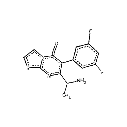 CC(N)c1nc2sccn2c(=O)c1-c1cc(F)cc(F)c1